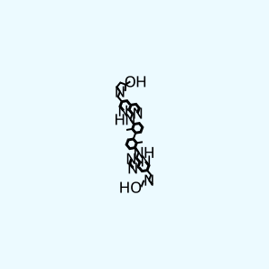 Cc1c(Nc2nccc3cc(CN4CCC(O)C4)cnc23)cccc1-c1cccc(Nc2ncnc3cc(CN(C)CCO)cnc23)c1C